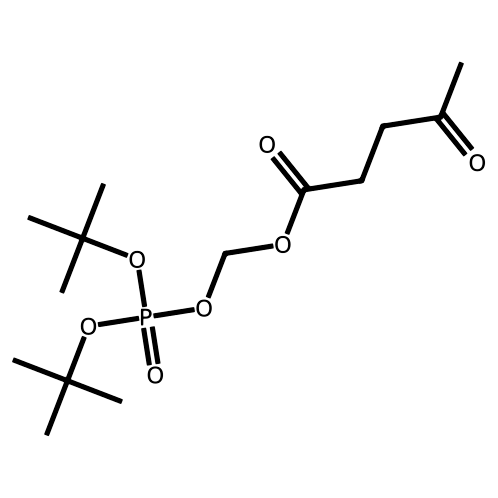 CC(=O)CCC(=O)OCOP(=O)(OC(C)(C)C)OC(C)(C)C